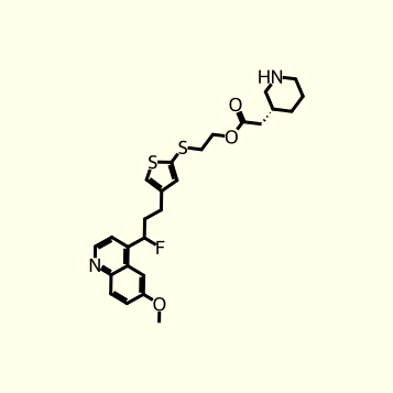 COc1ccc2nccc(C(F)CCc3csc(SCCOC(=O)C[C@H]4CCCNC4)c3)c2c1